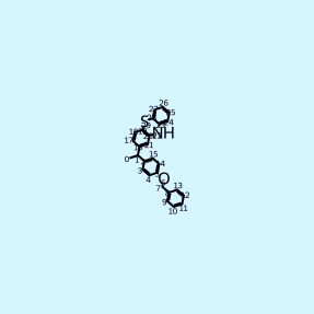 CC(c1ccc(OCc2ccccc2)cc1)c1ccc2c(c1)Nc1ccccc1S2